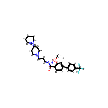 COc1cc(-c2ccc(C(F)(F)F)cc2)ccc1C(=O)NCCCN1CCC(N2CCCCC2)CC1